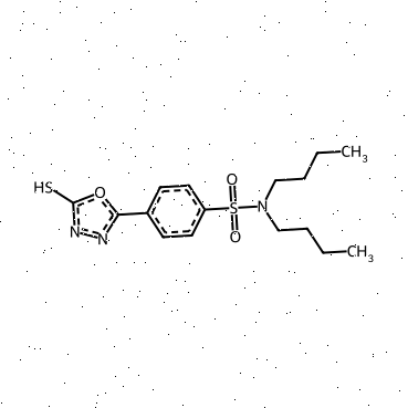 CCCCN(CCCC)S(=O)(=O)c1ccc(-c2nnc(S)o2)cc1